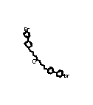 O=C(CCCCc1ccc(-c2ccc(Br)cc2)cc1)CCCCc1ccc(-c2ccc(Br)cc2)cc1